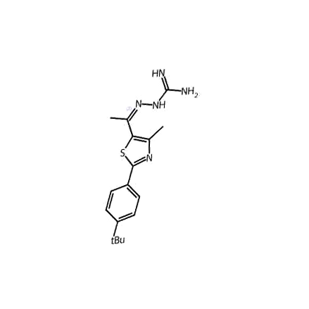 C/C(=N/NC(=N)N)c1sc(-c2ccc(C(C)(C)C)cc2)nc1C